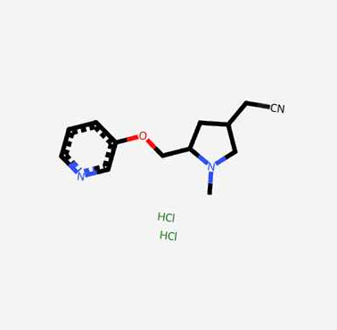 CN1CC(CC#N)CC1COc1cccnc1.Cl.Cl